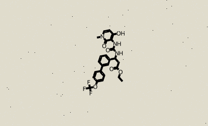 CCOC(=O)CC(NC(=O)Nc1c(O)ccn(C)c1=O)c1cccc(-c2ccc(OC(F)(F)F)cc2)c1